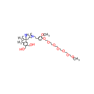 COCCOCCOCCOCCOCCOCCOc1ccc(CCN(C)CCCC(C#N)(c2ccc(CO)c(CO)c2)C(C)C)cc1OC